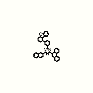 c1cc(-c2nc(-c3ccc4ccccc4c3)nc(-c3cc4ccccc4c4ccccc34)n2)cc(-c2cccc3oc4ccccc4c23)c1